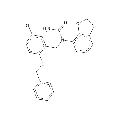 NC(=O)N(Cc1cc(Cl)ccc1OCc1ccccc1)c1cccc2c1OCC2